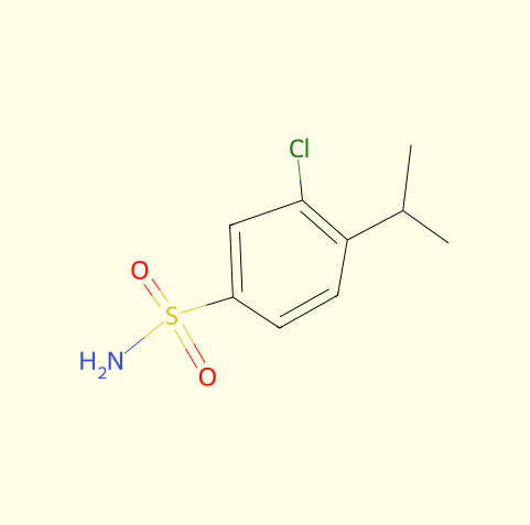 CC(C)c1ccc(S(N)(=O)=O)cc1Cl